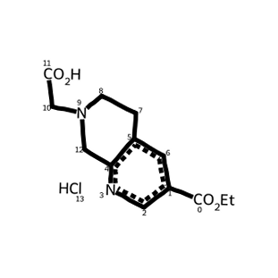 CCOC(=O)c1cnc2c(c1)CCN(CC(=O)O)C2.Cl